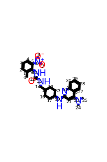 Cc1cccc([N+](=O)[O-])c1NC(=O)NCC1CCC(Nc2cc(N(C)C)c3ccccc3n2)CC1